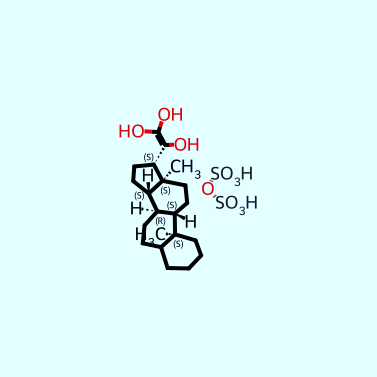 C[C@]12CC[C@H]3[C@@H](CCC4CCCC[C@@]43C)[C@@H]1CC[C@@H]2C(O)=C(O)O.O=S(=O)(O)OS(=O)(=O)O